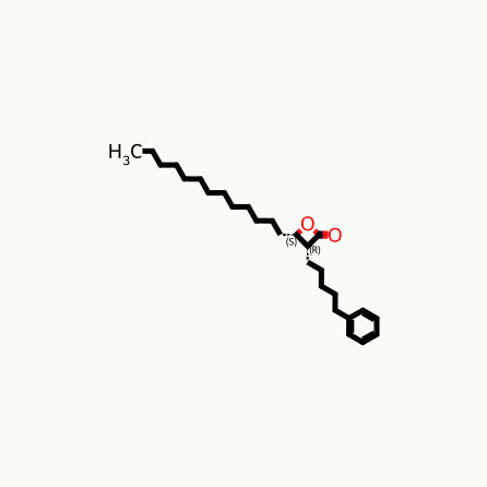 CCCCCCCCCCCCC[C@@H]1OC(=O)[C@@H]1CCCCCc1ccccc1